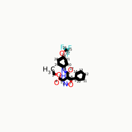 CCOC(=O)c1noc(-c2ccccc2)c1C(=O)Nc1ccc(OC(F)(F)F)cc1